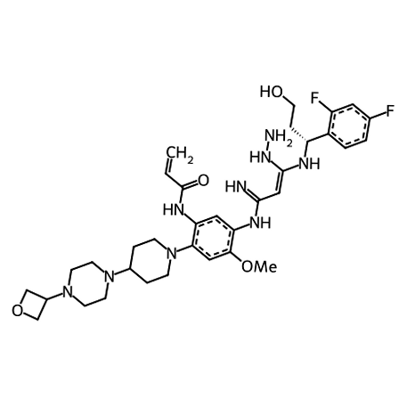 C=CC(=O)Nc1cc(NC(=N)/C=C(\NN)N[C@H](CCO)c2ccc(F)cc2F)c(OC)cc1N1CCC(N2CCN(C3COC3)CC2)CC1